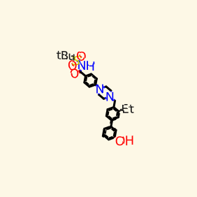 CCc1cc(-c2cccc(O)c2)ccc1CN1CCN(c2ccc(C(=O)NS(=O)(=O)C(C)(C)C)cc2)CC1